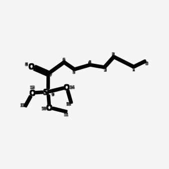 CCCCCCCC(=O)[Si](OC)(OC)OC